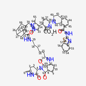 C=C1CCC(N2C(=O)c3cccc(NCCCCCCNC(=O)C45CC6CC(CC(Cn7ncc(-c8ccc(N9CCc%10cccc(C(=O)Nc%11nc%12ccccc%12s%11)c%10C9)nc8C(=O)O)c7C)(C6)C4)C5)c3C2=O)C(=O)N1